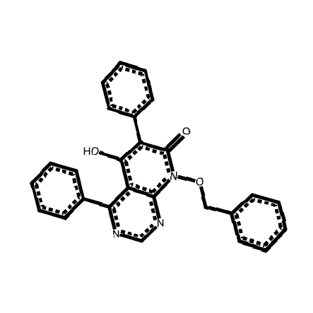 O=c1c(-c2ccccc2)c(O)c2c(-c3ccccc3)ncnc2n1OCc1ccccc1